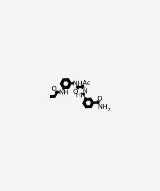 C=CC(=O)Nc1cccc(NC(=O)/C(=N\Nc2cccc(C(N)=O)c2)C(C)=O)c1